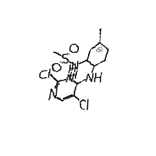 C[C@H]1CCC(NC2NC(Cl)=NC=C2Cl)C(NS(C)(=O)=O)C1